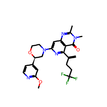 C=C(CCC(F)(F)F)c1nc(N2CCO[C@H](c3ccnc(OC)c3)C2)cc2nc(C)n(C)c(=O)c12